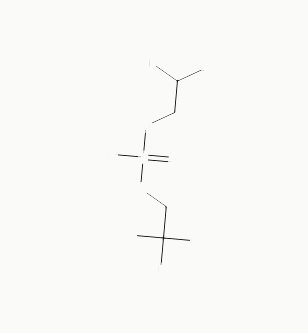 O=P(O)(OCC(F)F)OCC(F)(F)F